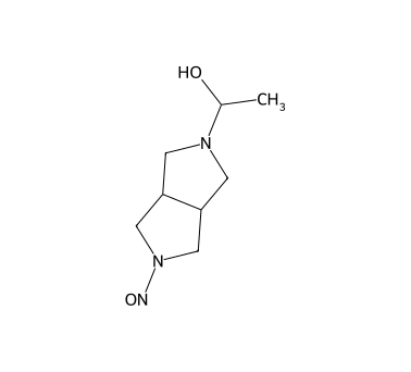 CC(O)N1CC2CN(N=O)CC2C1